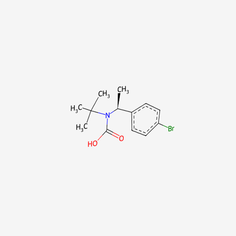 C[C@@H](c1ccc(Br)cc1)N(C(=O)O)C(C)(C)C